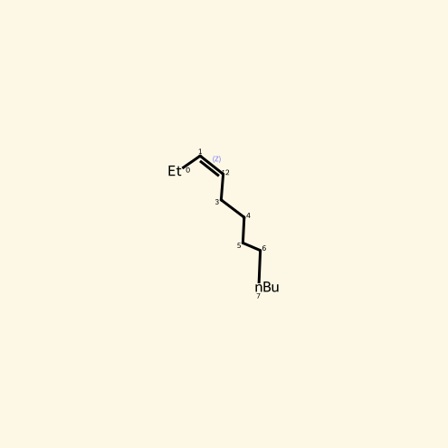 CC/C=[C]\CCCCCCCC